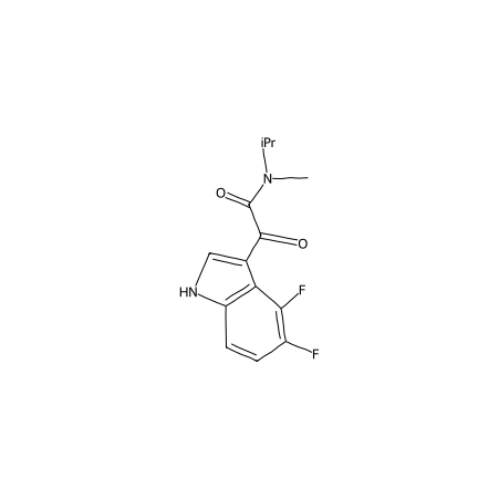 CC(C)N(C)C(=O)C(=O)c1c[nH]c2ccc(F)c(F)c12